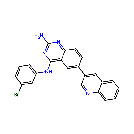 Nc1nc(Nc2cccc(Br)c2)c2cc(-c3cnc4ccccc4c3)ccc2n1